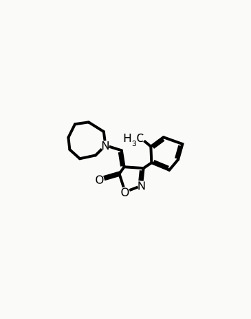 Cc1ccccc1C1=NOC(=O)C1=CN1CCCCCCC1